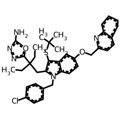 CCC(CC)(Cc1c(SC(C)(C)C)c2cc(OCc3ccc4ccccc4n3)ccc2n1Cc1ccc(Cl)cc1)c1nnc(N)o1